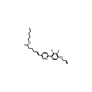 C=CCOc1ccc(-c2ccc(C=CCCCC(C)OCCCCC)nn2)c(F)c1F